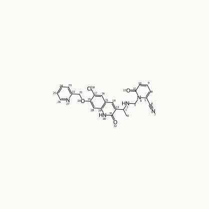 CC(NCn1c(C#N)cccc1=O)c1cc2cc(Cl)c(OCc3ccccn3)cc2[nH]c1=O